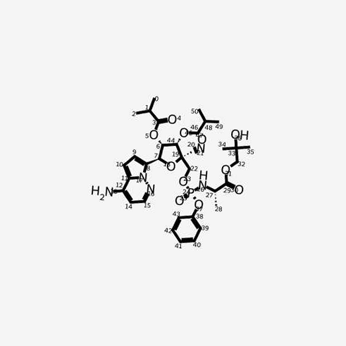 CC(C)C(=O)O[C@H]1[C@H](c2ccc3c(N)ccnn23)O[C@](C#N)(COP(=O)(N[C@@H](C)C(=O)OCC(C)(C)O)Oc2ccccc2)[C@H]1OC(=O)C(C)C